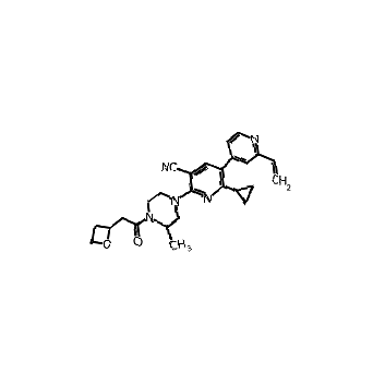 C=Cc1cc(-c2cc(C#N)c(N3CCN(C(=O)CC4CCO4)C(C)C3)nc2C2CC2)ccn1